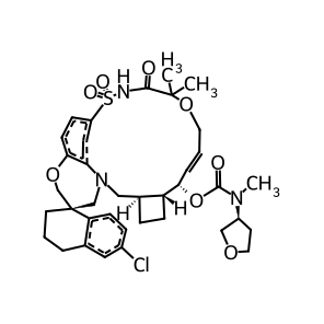 CN(C(=O)O[C@H]1/C=C/COC(C)(C)C(=O)NS(=O)(=O)c2ccc3c(c2)N(C[C@@H]2CC[C@H]21)C[C@@]1(CCCc2cc(Cl)ccc21)CO3)[C@H]1CCOC1